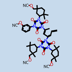 C=C/C=C(\C=C(/C)n1c(=O)n(-c2cccc(OC#N)c2)c(=O)n(C2CC(C)(COC#N)CCC2(C)C)c1=O)n1c(=O)n(C2CC(C)(C)CC(C)(COC#N)C2)c(=O)n(C2CC(C)(COC#N)CCC2(C)C)c1=O